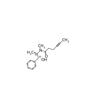 CC#CCCC(=O)N(C)[C@H](C)[C@H](O)c1ccccc1